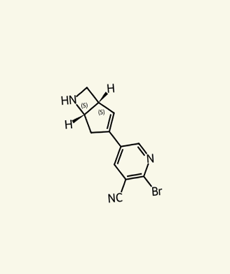 N#Cc1cc(C2=C[C@H]3CN[C@H]3C2)cnc1Br